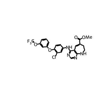 COC(=O)C1=Cc2c(ncnc2Nc2ccc(Oc3cccc(OC(F)(F)F)c3)c(Cl)c2)NCC1